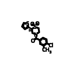 Cc1cc(C(=O)N2CCS(=O)(=O)[C@H](c3cccs3)C2)ccc1Cl